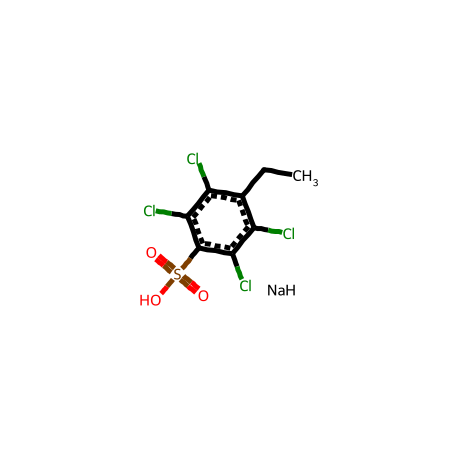 CCc1c(Cl)c(Cl)c(S(=O)(=O)O)c(Cl)c1Cl.[NaH]